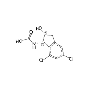 O=C(O)N[C@H]1c2c(Cl)cc(Cl)cc2C[C@H]1O